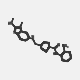 CNc1nc2ccc(NCc3ccc(C(=O)Nc4ccccc4N)cc3)cc2n1C